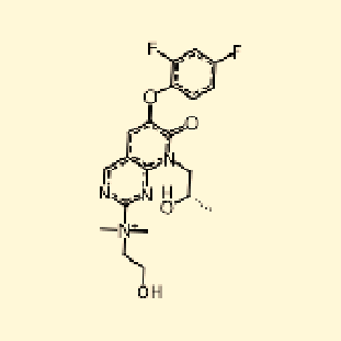 C[C@H](O)Cn1c(=O)c(Oc2ccc(F)cc2F)cc2cnc([N+](C)(C)CCO)nc21